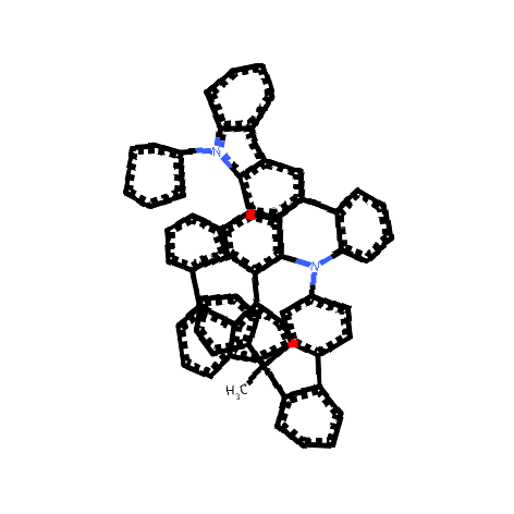 CC1(c2ccccc2)c2ccccc2-c2ccc(N(c3ccccc3-c3ccc4c(c3)c3ccccc3n4-c3ccccc3)c3ccccc3-c3cccc4cccc(-c5ccccc5)c34)cc21